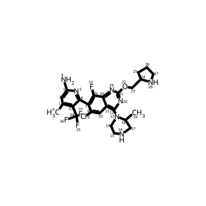 Cc1cc(N)nc(-c2c(Cl)cc3c(N4CCNCC4C)nc(OCC4CCCN4)nc3c2F)c1C(F)(F)F